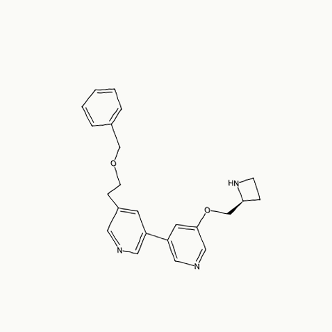 c1ccc(COCCc2cncc(-c3cncc(OC[C@@H]4CCN4)c3)c2)cc1